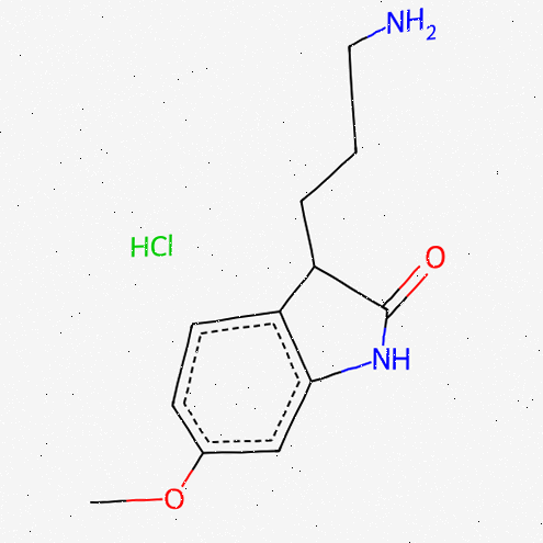 COc1ccc2c(c1)NC(=O)C2CCCN.Cl